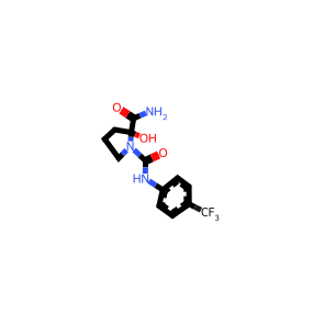 NC(=O)C1(O)CCCN1C(=O)Nc1ccc(C(F)(F)F)cc1